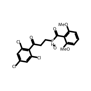 COc1cccc(OC)c1C(=O)[PH](=O)CCC(=O)c1c(Cl)cc(Cl)cc1Cl